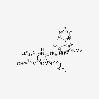 C=Cc1cnc(Nc2cc(CC)c(C=O)cc2OC)nc1Nc1ccc2nccnc2c1S(=O)(=O)NC